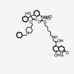 Cl.Cl.O=C(Nc1cccc(C(O)(C(=O)OCC2CCN(Cc3ccccc3)CC2)c2ccccc2)c1)OCCCCCNC[C@H](O)c1ccc(O)c2[nH]c(=O)ccc12